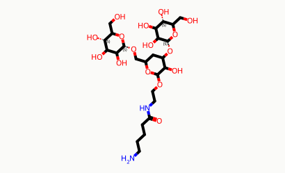 NCCCCC(=O)NCCOC1OC(CO[C@H]2OC(CO)[C@@H](O)C(O)C2O)CC(O[C@H]2OC(CO)[C@@H](O)C(O)C2O)C1O